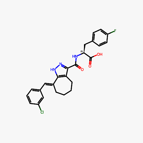 O=C(N[C@@H](Cc1ccc(F)cc1)C(=O)O)c1n[nH]c2c1CCCCC2=Cc1cccc(Cl)c1